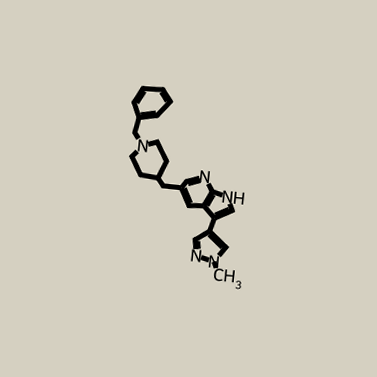 Cn1cc(-c2c[nH]c3ncc(CC4CCN(Cc5ccccc5)CC4)cc23)cn1